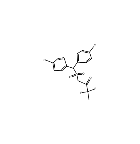 CC(F)(F)C(=O)CS(=O)(=O)C(c1ccc(Cl)cc1)c1ccc(Cl)cc1